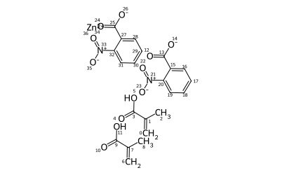 C=C(C)C(=O)O.C=C(C)C(=O)O.O=C([O-])c1ccccc1[N+](=O)[O-].O=C([O-])c1ccccc1[N+](=O)[O-].[Zn+2]